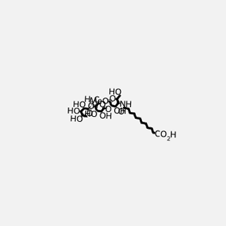 CO[C@@H]1OC(CO)[C@H](NC(=O)CCCCCCCCCCC(=O)O)C(O)C1O[C@@H]1OC(C)[C@H](O[C@@H]2OC[C@@H](O)C(O)C2O)C(O)C1O